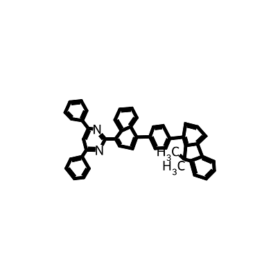 CC1(C)c2ccccc2-c2cccc(-c3ccc(-c4ccc(-c5nc(-c6ccccc6)cc(-c6ccccc6)n5)c5ccccc45)cc3)c21